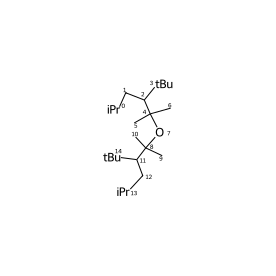 CC(C)CC(C(C)(C)C)C(C)(C)OC(C)(C)C(CC(C)C)C(C)(C)C